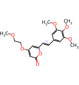 COCCOc1cc(/C=C/c2cc(OC)c(OC)c(OC)c2)oc(=O)c1